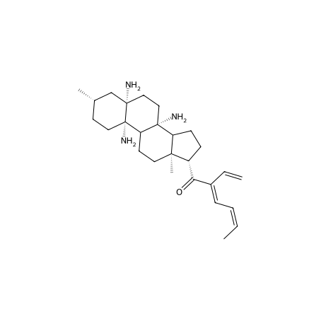 C=C/C(=C\C=C/C)C(=O)[C@H]1CCC2[C@]3(N)CC[C@]4(N)C[C@@H](C)CC[C@]4(N)C3CC[C@@]21C